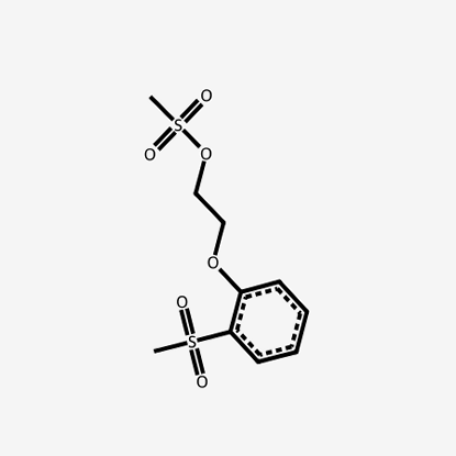 CS(=O)(=O)OCCOc1ccccc1S(C)(=O)=O